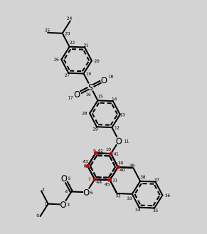 CC(C)OC(=O)Oc1ccc(Oc2ccc(S(=O)(=O)c3ccc(C(C)C)cc3)cc2)c2c1C1c3ccccc3C2c2ccccc21